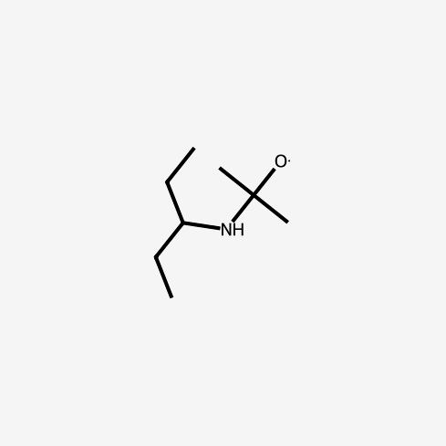 CCC(CC)NC(C)(C)[O]